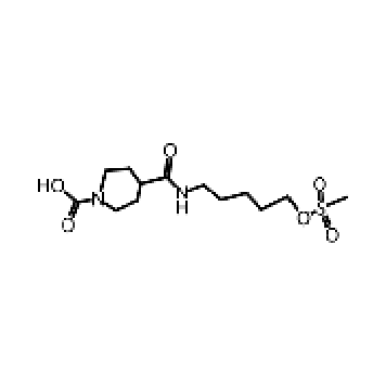 CS(=O)(=O)OCCCCCNC(=O)C1CCN(C(=O)O)CC1